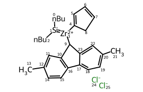 CCCC[Si](CCCC)=[Zr+2]([C]1=CC=CC1)[CH]1c2cc(C)ccc2-c2ccc(C)cc21.[Cl-].[Cl-]